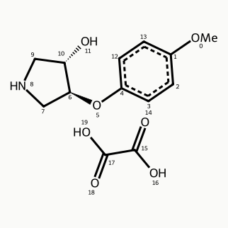 COc1ccc(O[C@H]2CNC[C@@H]2O)cc1.O=C(O)C(=O)O